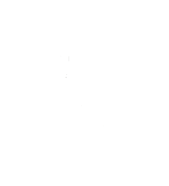 C[Si](C)(C)C#CC#CCCC=CCO